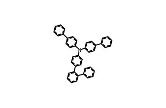 c1ccc(-c2ccc(N(c3ccc(-c4ccccc4)cc3)c3ccc(-c4ccccc4-c4ccccc4)cc3)cc2)cc1